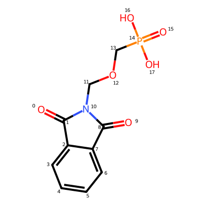 O=C1c2ccccc2C(=O)N1COCP(=O)(O)O